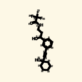 O=C(NCCC(O)c1cccc(C#CC2(O)CCCCC2)c1)C(F)(F)F